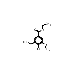 CCOC(=O)c1cc(OC)c(Cl)c(OC)c1